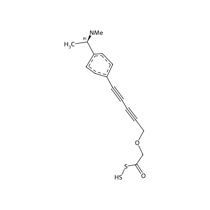 CN[C@H](C)c1ccc(C#CC#CCOCC(=O)SS)cc1